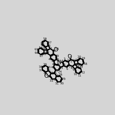 O=C1c2cc3c(cc2C2c4ccccc4C24c2ccccc2C14)c1cc(-c2c4ccccc4cc4oc5ccccc5c24)cc2c4cc5c(cc4n3c12)C(=O)C1c2ccccc2C12c1ccccc1C52